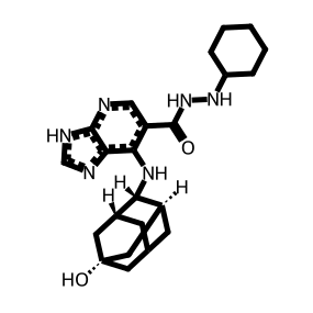 O=C(NNC1CCCCC1)c1cnc2[nH]cnc2c1N[C@H]1[C@@H]2CC3C[C@H]1C[C@@](O)(C3)C2